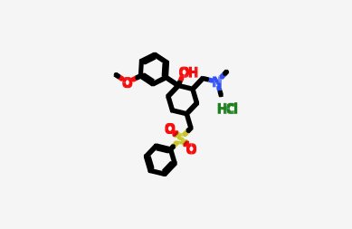 COc1cccc(C2(O)CCC(CS(=O)(=O)c3ccccc3)CC2CN(C)C)c1.Cl